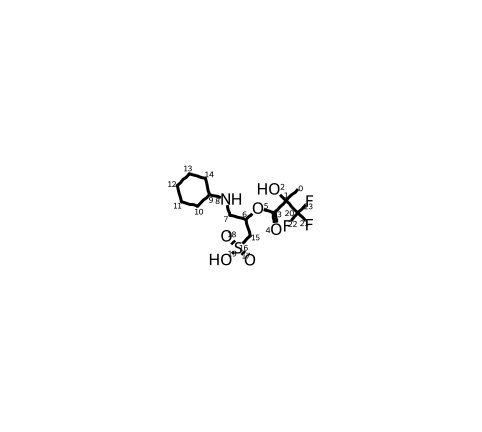 CC(O)(C(=O)OC(CNC1CCCCC1)CS(=O)(=O)O)C(F)(F)F